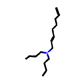 C=CCCCC=CCN(CCCC)CCCC